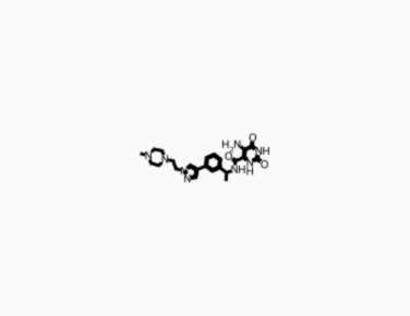 CC(NC(=O)c1[nH]c(=O)[nH]c(=O)c1N)c1cccc(-c2cnn(CCN3CCN(C)CC3)c2)c1